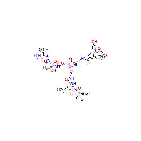 CC(=O)N[C@@H](C(=O)NCC(=O)N[C@H](CCC(=O)O)C(=O)NCCOCC(=O)N[C@H](CCCCNC(=O)c1ccc(-c2c3ccc(=O)cc-3oc3cc(O)ccc23)c(C(=O)O)c1)C(=O)NCCOCC(=O)N[C@@H](C(=O)NCC(=O)N[C@H](CCC(=O)O)C(N)=O)[C@H](C)O)[C@H](C)O